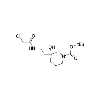 CC(C)(C)OC(=O)N1CCCC(O)(CCNC(=O)CCl)C1